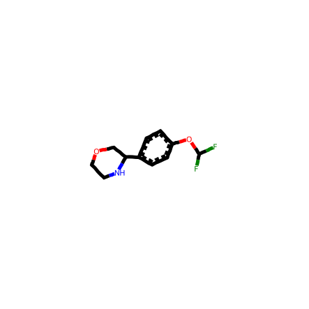 FC(F)Oc1ccc(C2COCCN2)cc1